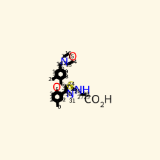 Cc1ccc(OCc2ccc(CN3CCOCC3)cc2C)c(C2=CSC(NCCC(=O)O)N2C)c1